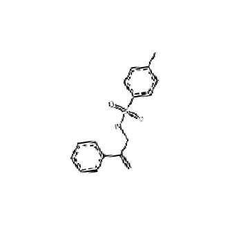 C=C(CNS(=O)(=O)c1ccc(C)cc1)c1ccccc1